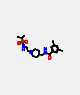 Cc1cc(C)cc(C(=O)NCC2CCN(CCNS(=O)(=O)C(C)C)CC2)c1